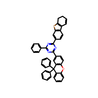 C1=Cc2c(sc3cc(-c4nc(-c5ccccc5)nc(-c5ccc6c(c5)C(c5ccccc5)(c5ccccc5)c5ccccc5O6)n4)ccc23)CC1